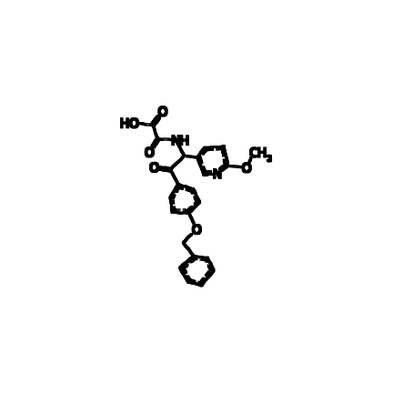 COc1ccc(C(NC(=O)C(=O)O)C(=O)c2ccc(OCc3ccccc3)cc2)cn1